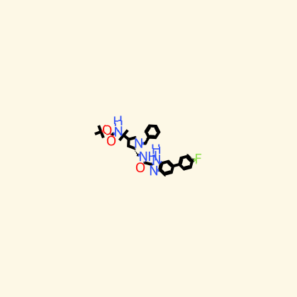 CC(C)(C)OC(=O)NC(C)(C)C1C[C@@H](CNC(=O)c2nc3ccc(-c4ccc(F)cc4)cc3[nH]2)N(Cc2ccccc2)C1